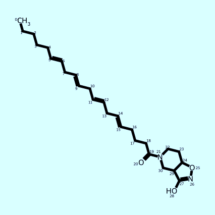 CCCCC/C=C/C/C=C/C/C=C/C/C=C/CCCC(=O)N1CCC2ON=C(O)C2C1